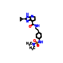 CN(C)S(=O)(=O)Nc1ccc(CCNC(=O)c2ccnc3[nH]c(C4CC4)nc23)cc1